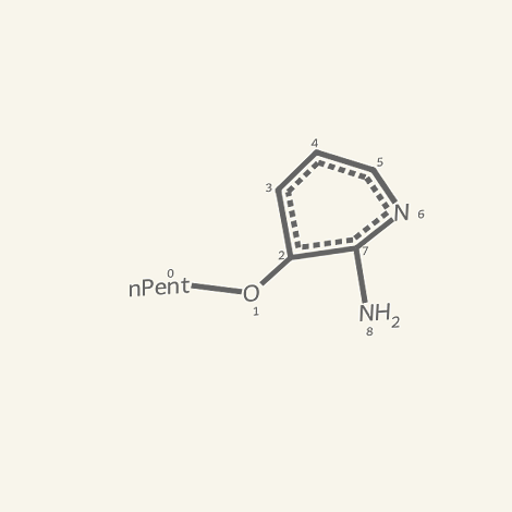 CCCCCOc1cccnc1N